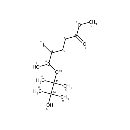 COC(=O)CCC(I)B(O)OC(C)(C)C(C)(C)O